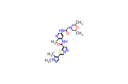 Cc1ncc(NC(=O)CN2C[C@@H](C)O[C@H](C)C2)cc1NC(=O)c1cnn2cc(-c3cnn(C)c3C)sc12